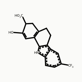 O=C(O)C1CC2=C(C=C1O)c1[nH]c3ccc(C(F)(F)F)cc3c1CC2